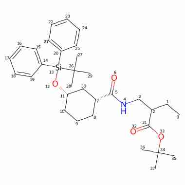 CCC(CNC(=O)[C@@H]1CCC[C@H](O[Si](c2ccccc2)(c2ccccc2)C(C)(C)C)C1)C(=O)OC(C)(C)C